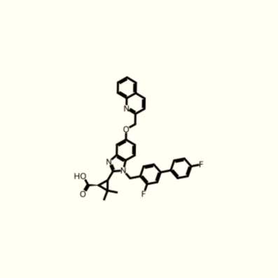 CC1(C)C(c2nc3cc(OCc4ccc5ccccc5n4)ccc3n2Cc2ccc(-c3ccc(F)cc3)cc2F)[C@@H]1C(=O)O